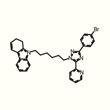 Brc1ccc(-c2nc(-c3ccccn3)n(CCCCCCn3c4c(c5ccccc53)C=CCC4)n2)cc1